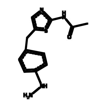 CC(=O)Nc1ncc(Cc2ccc(NN)cc2)s1